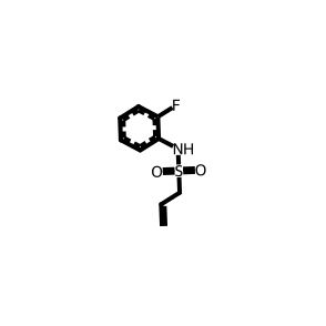 C=CCS(=O)(=O)Nc1ccccc1F